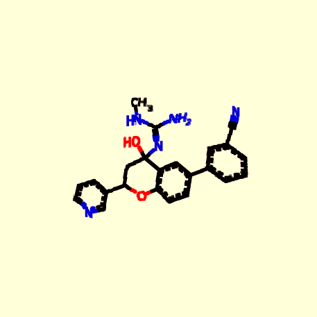 CN/C(N)=N\C1(O)CC(c2cccnc2)Oc2ccc(-c3cccc(C#N)c3)cc21